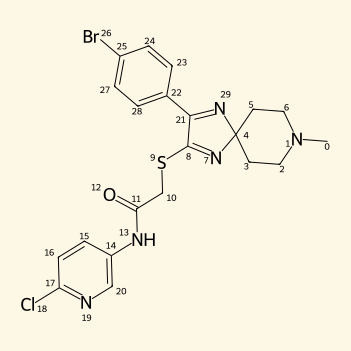 CN1CCC2(CC1)N=C(SCC(=O)Nc1ccc(Cl)nc1)C(c1ccc(Br)cc1)=N2